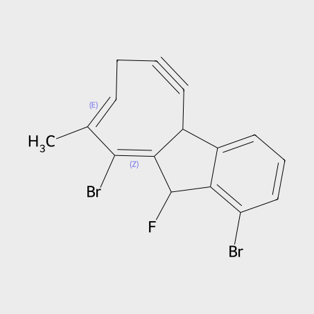 CC1=C\CC#CC2/C(=C\1Br)C(F)c1c(Br)cccc12